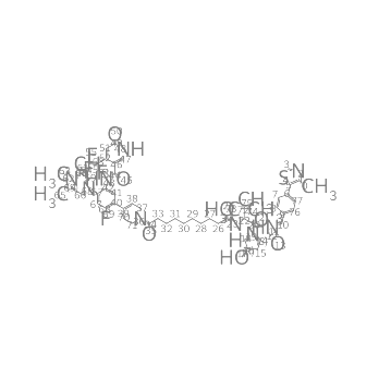 Cc1ncsc1-c1ccc(CNC(=O)[C@@H]2C[C@@H](O)CN2C(=O)C(NC(=O)CCCCCCCCC(=O)N2CC=C(c3cc(NC(=O)c4c[nH]c(=O)cc4C(F)(F)F)c(N4C[C@@H](C)N(C)[C@@H](C)C4)cc3F)CC2)C(C)(C)C)cc1